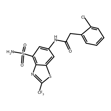 NS(=O)(=O)c1cc(NC(=O)Cc2ccccc2Cl)cc2sc(C(F)(F)F)nc12